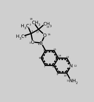 CC1(C)OB(c2ccc3cc(N)ncc3c2)OC1(C)C